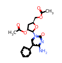 CC(=O)OC[C@@H]1C[C@@H](OC(C)=O)[C@H](n2cc(-c3ccccc3)c(N)nc2=O)O1